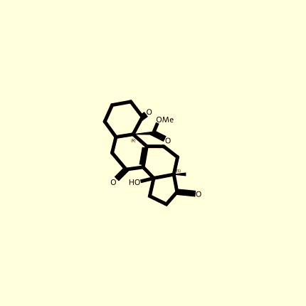 COC(=O)[C@]12C(=O)CCCC1CC(=O)C1=C2CC[C@]2(C)C(=O)CCC12O